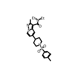 CCN(CC)C(=O)c1c(C)nn2ccc(C3CCN(S(=O)(=O)c4ccc(C)cc4)CC3)cc12